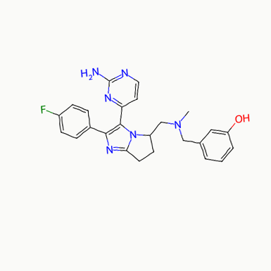 CN(Cc1cccc(O)c1)CC1CCc2nc(-c3ccc(F)cc3)c(-c3ccnc(N)n3)n21